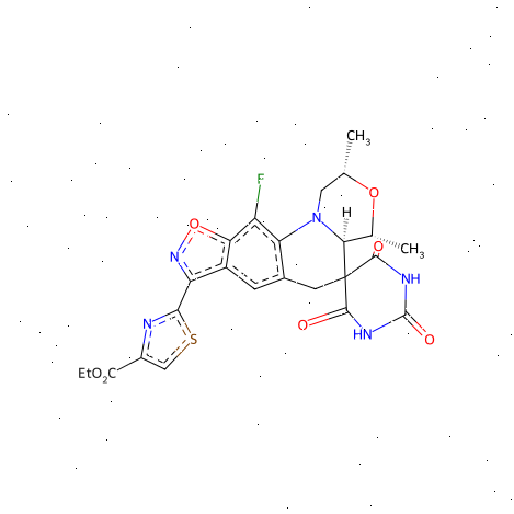 CCOC(=O)c1csc(-c2noc3c(F)c4c(cc23)CC2(C(=O)NC(=O)NC2=O)[C@@H]2[C@@H](C)O[C@@H](C)CN42)n1